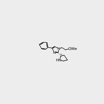 COCCn1cc(-c2ccccc2)nc1[C@@H]1CCCN1